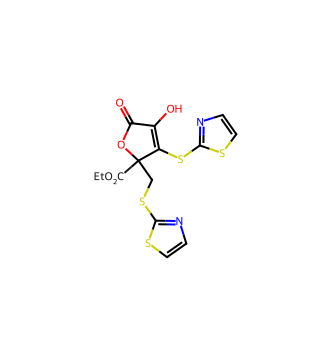 CCOC(=O)C1(CSc2nccs2)OC(=O)C(O)=C1Sc1nccs1